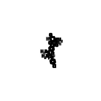 BC(c1ccc2c(c1)CN([C@]1(B)C(=O)NC(=O)CC1B)C2=O)N(B)C(=O)C(F)(F)c1ccc(Cl)cc1